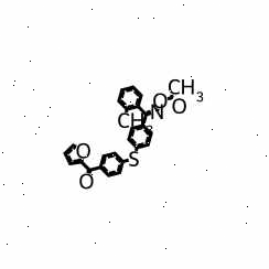 CC(=O)O/N=C(/c1ccc(Sc2ccc(C(=O)c3ccco3)cc2)cc1)c1ccccc1C